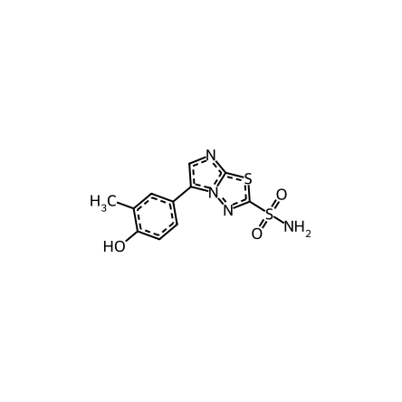 Cc1cc(-c2cnc3sc(S(N)(=O)=O)nn23)ccc1O